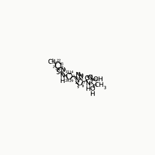 C[C@H](O)[C@H](NC(=O)c1cccn2c(-c3ccc(Nc4nc5ccc(Cl)cc5s4)cc3)nnc12)C(=O)O